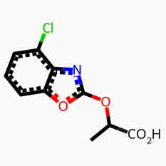 CC(Oc1nc2c(Cl)cccc2o1)C(=O)O